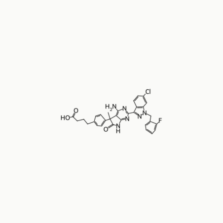 CC1(c2ccc(CCCC(=O)O)cc2)C(=O)Nc2nc(-c3nn(Cc4ccccc4F)c4cc(Cl)ccc34)nc(N)c21